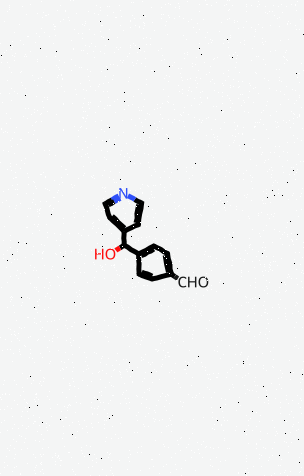 O=Cc1ccc(C(O)c2ccncc2)cc1